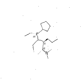 CCC[C@H](C(CC)[P@](CC)C1CCCC1)[C@@H](C)N(C)C